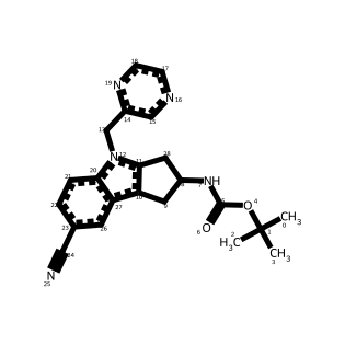 CC(C)(C)OC(=O)NC1Cc2c(n(Cc3cnccn3)c3ccc(C#N)cc23)C1